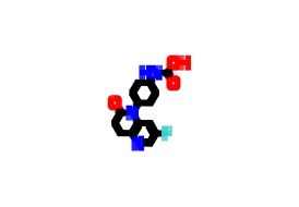 O=C(O)NC1CCC(N2C(=O)CCc3ncc(F)cc32)CC1